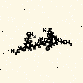 CCOC1=CC(CC=O)C(CCCNCCCc2cc(OCC)cc(OCC)c2)(C(C)C)C(OCC)=C1